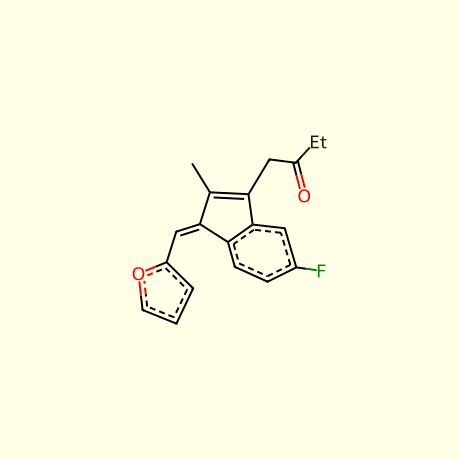 CCC(=O)CC1=C(C)/C(=C/c2ccco2)c2ccc(F)cc21